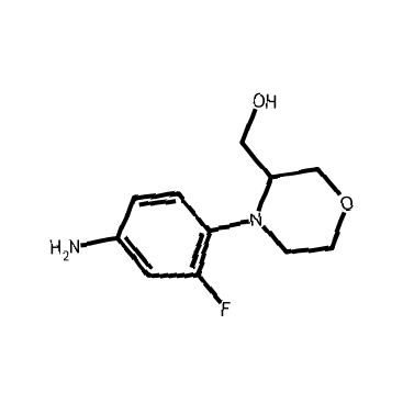 Nc1ccc(N2CCOCC2CO)c(F)c1